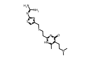 Cc1[nH]c(CCSCc2csc(N=C(N)N)n2)nc(=O)c1CCN(C)C